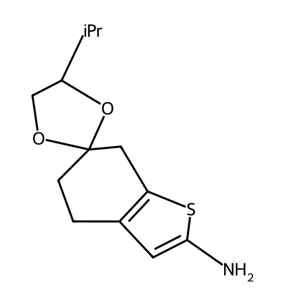 CC(C)C1COC2(CCc3cc(N)sc3C2)O1